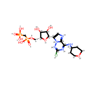 O=P(O)(O)CP(=O)(O)OC[C@H]1O[C@@H](c2cnc3c(NC4CCOCC4)nc(Cl)nn23)[C@H](O)[C@@H]1O